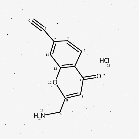 C#Cc1ccc2c(=O)cc(CN)oc2c1.Cl